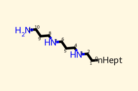 [CH2]CCCCCCCCNCCCNCCCN